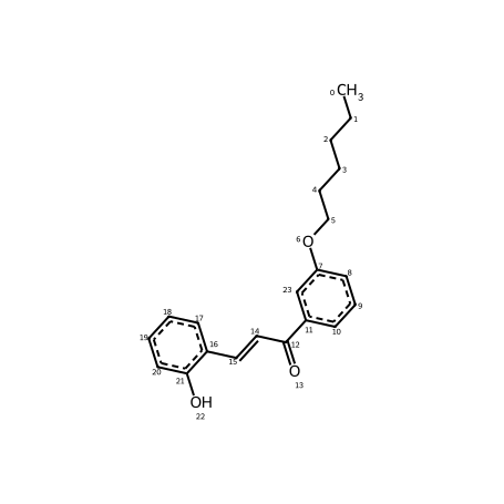 CCCCCCOc1cccc(C(=O)C=Cc2ccccc2O)c1